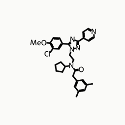 COc1ccc(-c2nc(-c3ccncc3)nn2CCN(C(=O)Cc2cc(C)cc(C)c2)C2CCCC2)cc1Cl